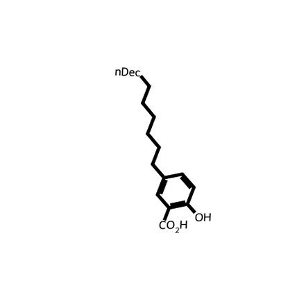 CCCCCCCCCCCCCCCCc1ccc(O)c(C(=O)O)c1